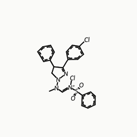 CN(C=[N+](Cl)S(=O)(=O)c1ccccc1)N1CC(c2ccccc2)C(c2ccc(Cl)cc2)=N1